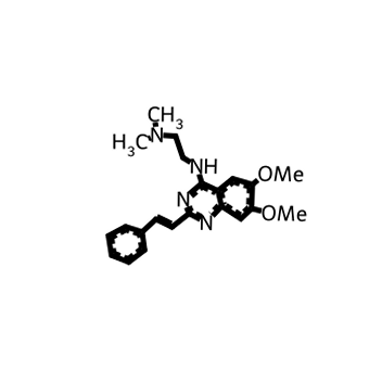 COc1cc2nc(/C=C/c3ccccc3)nc(NCCN(C)C)c2cc1OC